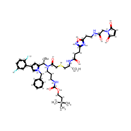 CC(C)(C)[C@H](c1cc(-c2cc(F)ccc2F)cn1Cc1ccccc1)N(CCCNC(=O)OCC[Si](C)(C)C)C(=O)CSC[C@H](NC(=O)CCc1noc(CCNC(=O)CN2C(=O)C=CC2=O)n1)C(=O)O